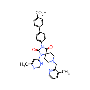 Cc1cc(N2C(=O)N(c3ccc(-c4ccc(C(=O)O)cc4)cc3)C(=O)C23CCN(Cc2ncccc2C)CC3)ncn1